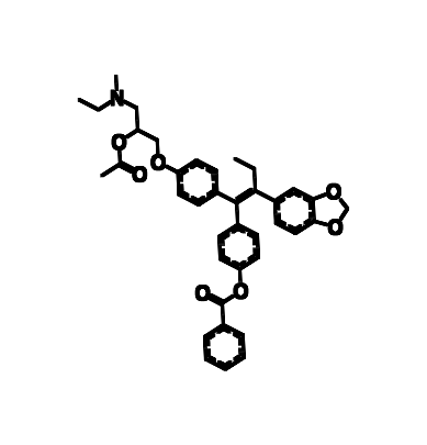 CCC(=C(c1ccc(OCC(CN(C)CC)OC(C)=O)cc1)c1ccc(OC(=O)c2ccccc2)cc1)c1ccc2c(c1)OCO2